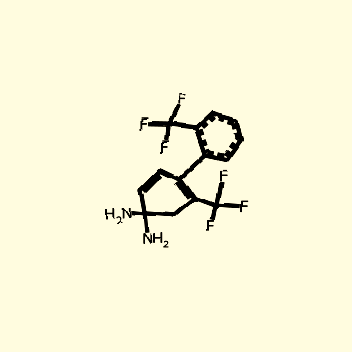 NC1(N)C=CC(c2ccccc2C(F)(F)F)=C(C(F)(F)F)C1